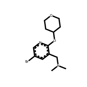 CN(C)Cc1cc(Br)cnc1OC1CCOCC1